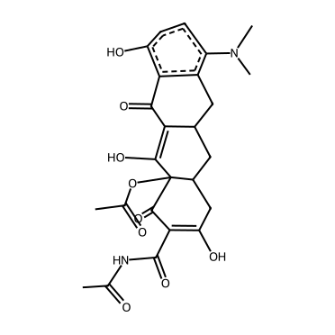 CC(=O)NC(=O)C1=C(O)CC2CC3Cc4c(N(C)C)ccc(O)c4C(=O)C3=C(O)C2(OC(C)=O)C1=O